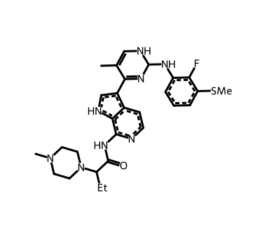 CCC(C(=O)Nc1nccc2c(C3=NC(Nc4cccc(SC)c4F)NC=C3C)c[nH]c12)N1CCN(C)CC1